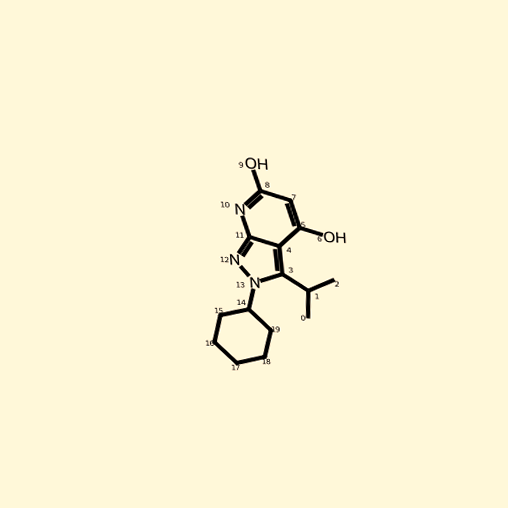 CC(C)c1c2c(O)cc(O)nc2nn1C1CCCCC1